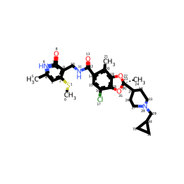 CSc1cc(C)[nH]c(=O)c1CNC(=O)c1cc(Cl)c2c(c1C)O[C@@](C)(C1CCN(CC3CC3)CC1)O2